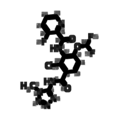 Cn1nnnc1NC(=O)c1ccc(OC(F)F)c(NC(=O)c2ncccc2F)c1Cl